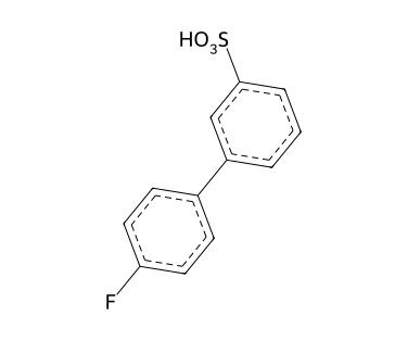 O=S(=O)(O)c1cccc(-c2ccc(F)cc2)c1